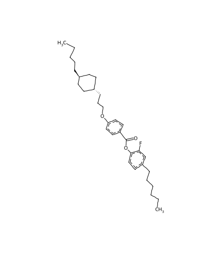 CCCCCCc1ccc(OC(=O)c2ccc(OCCC[C@H]3CC[C@H](CCCCC)CC3)cc2)c(F)c1